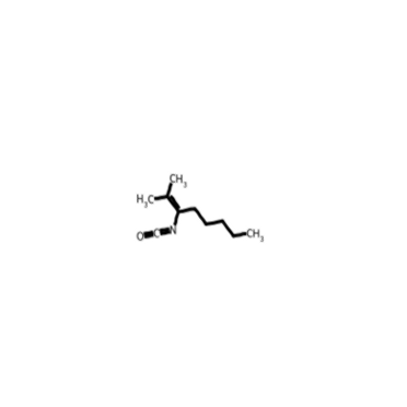 CCCCCC(N=C=O)=C(C)C